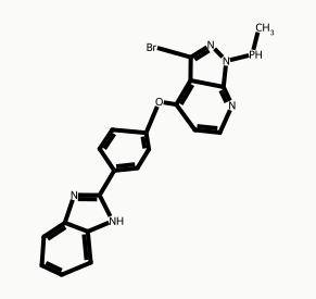 CPn1nc(Br)c2c(Oc3ccc(-c4nc5ccccc5[nH]4)cc3)ccnc21